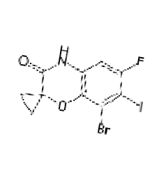 O=C1Nc2cc(F)c(I)c(Br)c2OC12CC2